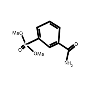 COP(=O)(OC)c1cccc(C(N)=O)c1